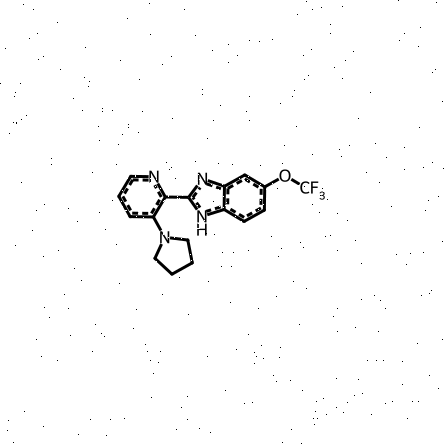 FC(F)(F)Oc1ccc2[nH]c(-c3ncccc3N3CCCC3)nc2c1